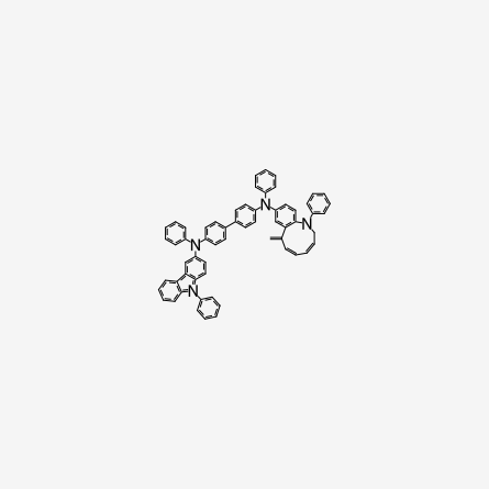 C=C1/C=C\C=C/CN(c2ccccc2)c2ccc(N(c3ccccc3)c3ccc(-c4ccc(N(c5ccccc5)c5ccc6c(c5)c5ccccc5n6-c5ccccc5)cc4)cc3)cc21